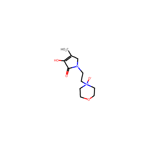 O=C(O)C1=C(O)C(=O)N(CC[N+]2([O-])CCOCC2)C1